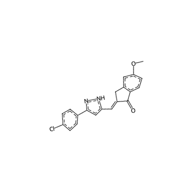 COc1ccc2c(c1)C/C(=C\c1cc(-c3ccc(Cl)cc3)n[nH]1)C2=O